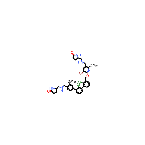 COc1cc(-c2cccc(-c3cccc(COc4nc(OC)c(CNCC5CCC(=O)N5)cc4Br)c3Cl)c2Cl)ccc1CNCC1CCC(=O)N1